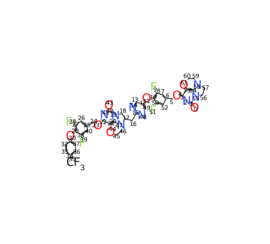 O=c1nc(OCc2cc(F)c(Oc3cnc(CC4Cn5c6c(c(OCc7cc(F)c(Oc8ccc(C(F)(F)F)cc8)c(F)c7)nc5=O)OCCN64)nc3)c(F)c2)c2c3n1CCN3CCO2